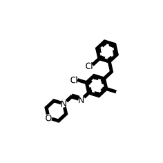 Cc1cc(N=CN2CCOCC2)c(Cl)cc1Cc1ccccc1Cl